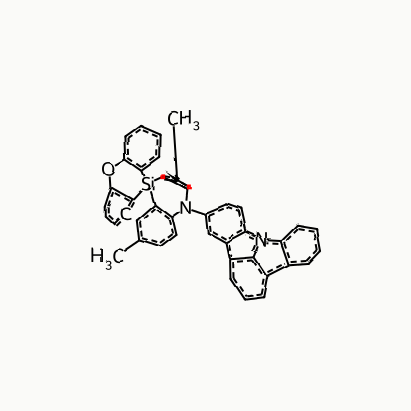 Cc1ccc2c(c1)[Si]1(c3ccccc3Oc3ccccc31)c1cc(C)ccc1N2c1ccc2c(c1)c1cccc3c4ccccc4n2c31